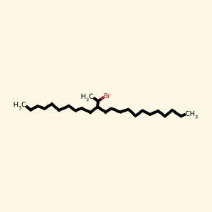 CCCCCCCCCCCCC(CCCCCCCCCC)C(C)Br